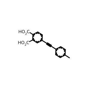 Cc1ccc(C#Cc2ccc(C(=O)O)c(C(=O)O)c2)cc1